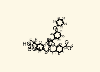 COC(=O)c1ccc(CN(Cc2ccc(C(F)(F)P(=O)(O)O)cc2)c2nnc(-c3cccc(Oc4ccccc4)c3)o2)cc1